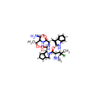 C[C@@H](O)C(NC(=O)[C@H](Cc1c[nH]c2ccccc12)NC(O)[C@@H]1C2CCCC2CN1C(=O)[C@@H](N)CC(C)(C)F)C(N)=O